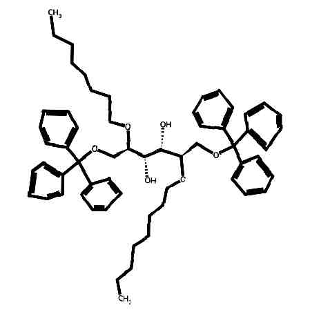 CCCCCCCCO[C@H](COC(c1ccccc1)(c1ccccc1)c1ccccc1)[C@@H](O)[C@H](O)[C@@H](COC(c1ccccc1)(c1ccccc1)c1ccccc1)OCCCCCCCC